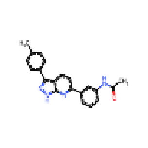 CC(=O)Nc1cccc(-c2ccc3c(-c4ccc(C)cc4)n[nH]c3n2)c1